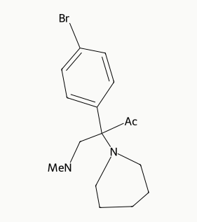 CNCC(C(C)=O)(c1ccc(Br)cc1)N1CCCCC1